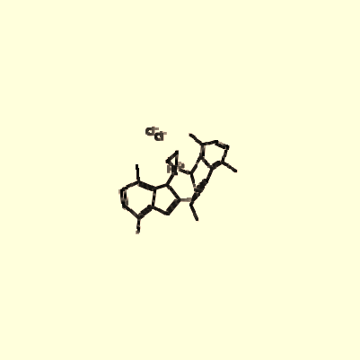 CCC1=Cc2c(C)ccc(C)c2[CH]1[Hf+2]1([CH]2C(CC)=Cc3c(C)ccc(C)c32)[CH2][CH2]1.[Cl-].[Cl-]